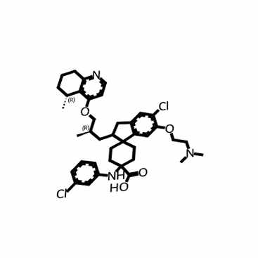 C[C@@H](COc1ccnc2c1[C@H](C)CCC2)CC1Cc2cc(Cl)c(OCCN(C)C)cc2C12CCC(Nc1cccc(Cl)c1)(C(=O)O)CC2